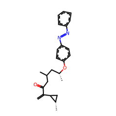 C=C(C(=O)CC(C)C[C@@H](C)Oc1ccc(/N=N/c2ccccc2)cc1)C1C[C@@H]1C